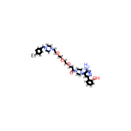 CCc1ccc(CN2CCN(CCOCCOCCOCCC(=O)N3CCN(c4cc(-c5ccccc5O)nnc4N)CC3)CC2)cc1